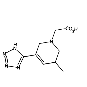 CC1C=C(c2nnn[nH]2)CN(CC(=O)O)C1